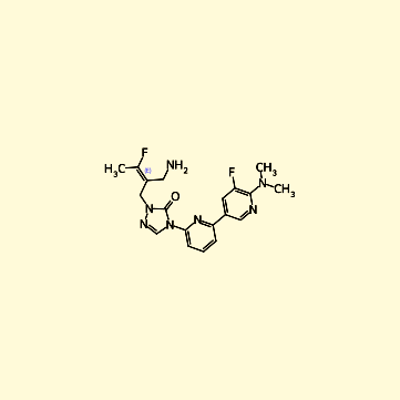 C/C(F)=C(/CN)Cn1ncn(-c2cccc(-c3cnc(N(C)C)c(F)c3)n2)c1=O